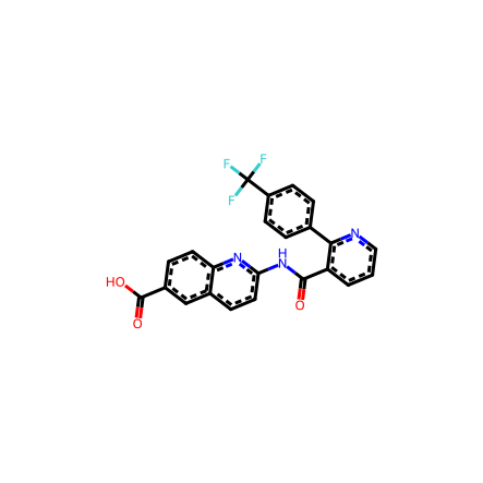 O=C(O)c1ccc2nc(NC(=O)c3cccnc3-c3ccc(C(F)(F)F)cc3)ccc2c1